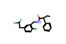 CCC(C(=O)NCc1cc(CC(F)F)ccc1F)c1ccccc1